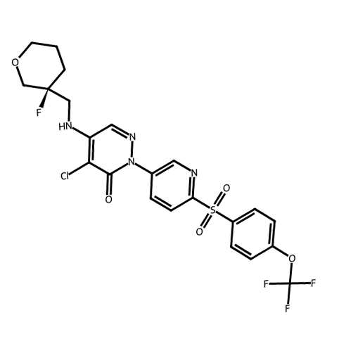 O=c1c(Cl)c(NC[C@@]2(F)CCCOC2)cnn1-c1ccc(S(=O)(=O)c2ccc(OC(F)(F)F)cc2)nc1